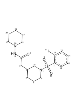 O=C(CC1CCCN(S(=O)(=O)c2ccccc2I)C1)NN1CCCCC1